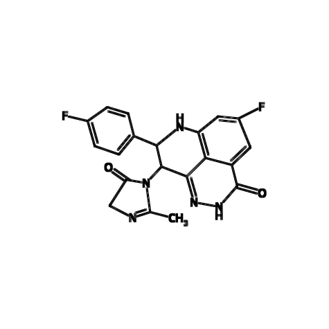 CC1=NCC(=O)N1C1c2n[nH]c(=O)c3cc(F)cc(c23)NC1c1ccc(F)cc1